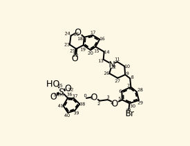 COCCOc1cc(CC2CCN(CCc3ccc4c(c3)C(=O)CCO4)CC2)ccc1Br.O=S(=O)(O)c1ccccc1